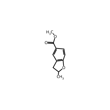 COC(=O)c1ccc2c(c1)CC(C)O2